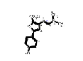 CCOC(=O)c1sc(-c2ccc(Cl)cc2)cc1/N=C/N(C)C